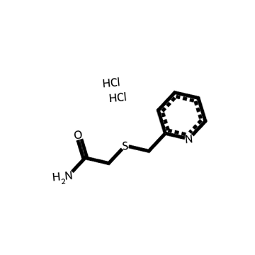 Cl.Cl.NC(=O)CSCc1ccccn1